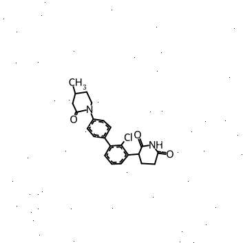 CC1CCN(c2ccc(-c3cccc(C4CCC(=O)NC4=O)c3Cl)cc2)C(=O)C1